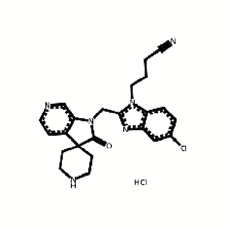 Cl.N#CCCCn1c(CN2C(=O)C3(CCNCC3)c3ccncc32)nc2cc(Cl)ccc21